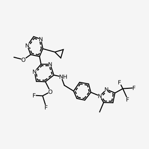 COc1ncnc(C2CC2)c1-c1ncc(OC(F)F)c(NCc2ccc(-n3nc(C(F)(F)F)cc3C)cc2)n1